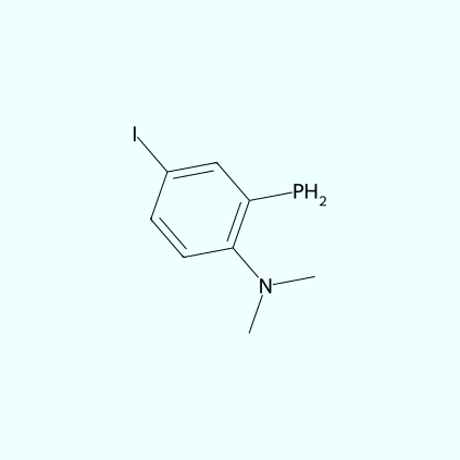 CN(C)c1ccc(I)cc1P